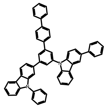 c1ccc(-c2ccc(-c3cc(-c4ccc5c6ccccc6n(-c6ccccc6)c5c4)cc(-n4c5ccccc5c5cc(-c6ccccc6)ccc54)c3)cc2)cc1